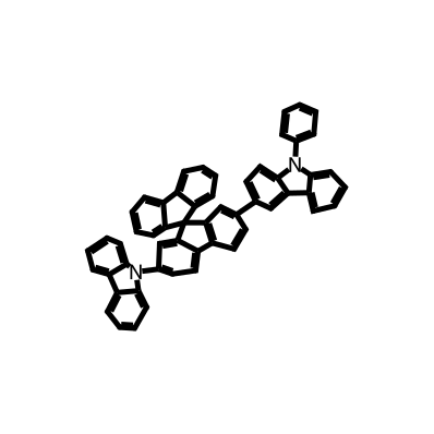 c1ccc(-n2c3ccccc3c3cc(-c4ccc5c(c4)C4(c6ccccc6-c6ccccc64)c4cc(-n6c7ccccc7c7ccccc76)ccc4-5)ccc32)cc1